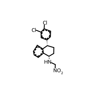 O=[N+]([O-])CN[C@H]1CC[C@@H](c2ccc(Cl)c(Cl)c2)c2ccccc21